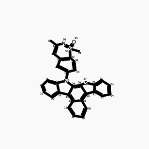 CC1=Cc2cc(-n3c4ccccc4c4c5ccccc5c5c6ccccc6sc5c43)ccc2S(C)(=O)=N1